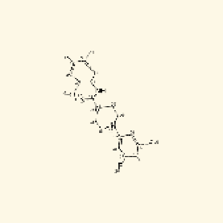 COc1cc(C)c(C)cc1NC(=S)N1CCN(c2cc(F)cc(F)c2)CC1